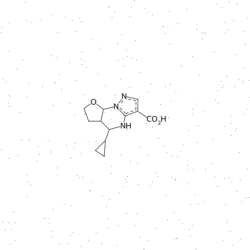 O=C(O)c1cnn2c1NC(C1CC1)C1CCOC12